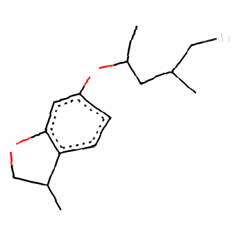 CC(C)CC(C)CC(C)Oc1ccc2c(c1)OCC2C